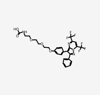 O=C(O)NCCOCCOCCOc1ccc(-c2c(-c3ccccc3)nn3c(C(F)(F)F)cc(C(F)(F)F)nc23)cc1